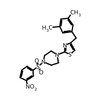 Cc1cc(C)cc(Cc2csc(N3CCN(S(=O)(=O)c4cccc([N+](=O)[O-])c4)CC3)n2)c1